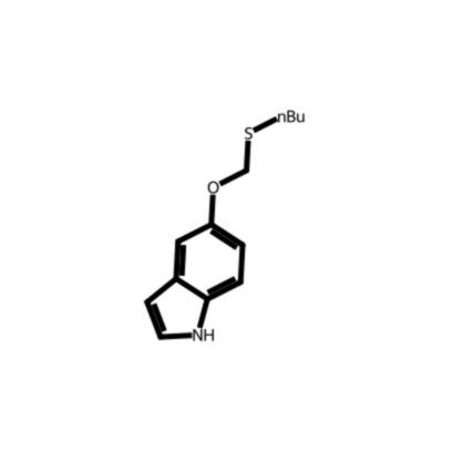 CCCCSCOc1ccc2[nH]ccc2c1